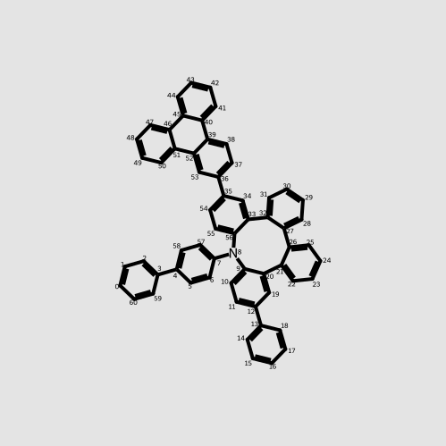 c1ccc(-c2ccc(-n3c4ccc(-c5ccccc5)cc4c4ccccc4c4ccccc4c4cc(-c5ccc6c7ccccc7c7ccccc7c6c5)ccc43)cc2)cc1